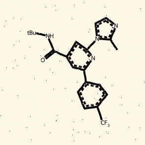 Cc1nccn1-c1cc(C(=O)NC(C)(C)C)cc(-c2ccc(C(F)(F)F)cc2)n1